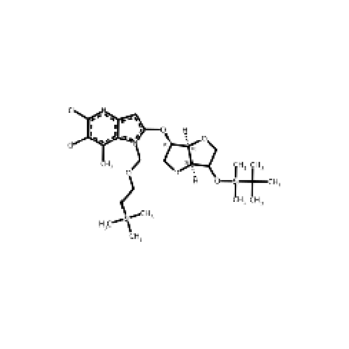 Cc1c(Cl)c(Cl)nc2cc(O[C@@H]3CO[C@@H]4C(O[Si](C)(C)C(C)(C)C)CO[C@@H]43)n(COCC[Si](C)(C)C)c12